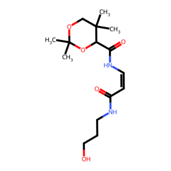 CC1(C)OCC(C)(C)C(C(=O)N/C=C\C(=O)NCCCO)O1